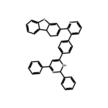 C1=C(c2ccc(-c3cccnc3C3=CCC4C(=C3)Sc3ccccc34)cc2)NC(c2ccccc2)N=C1c1ccccc1